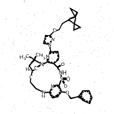 CC1(C)C[C@@H]2CCCNc3ccc(OCc4ccccc4)c(n3)S(=O)(=O)NC(=O)c3ccc(-n4ccc(OCCC5C6(CC6)C56CC6)n4)nc3N1C2